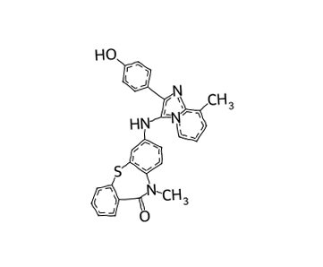 Cc1cccn2c(Nc3ccc4c(c3)Sc3ccccc3C(=O)N4C)c(-c3ccc(O)cc3)nc12